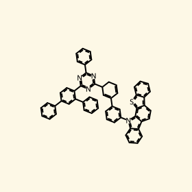 C1=CC(c2cccc(-n3c4ccccc4c4ccc5c6ccccc6sc5c43)c2)=CC(c2nc(-c3ccccc3)nc(-c3ccc(-c4ccccc4)cc3-c3ccccc3)n2)C1